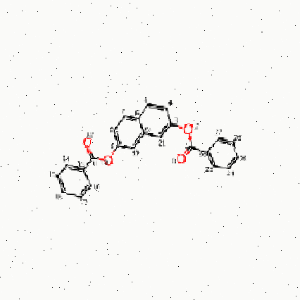 O=C(Oc1ccc2ccc(OC(=O)c3ccccc3)cc2c1)c1ccccc1